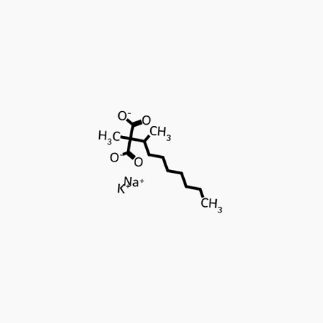 CCCCCCCC(C)C(C)(C(=O)[O-])C(=O)[O-].[K+].[Na+]